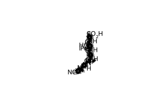 C#CC[C@H](NC(=O)c1ccc(-c2nc3cc(C#N)ccc3n2C)cc1)C(=O)Nc1ccc(C(=O)Nc2ccc(C(=O)Nc3ccc(C(=O)O)cc3)c(O)c2OC(C)C)nc1